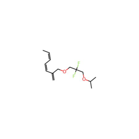 C=C(/C=C\C=C/C)COCC(F)(F)COC(C)C